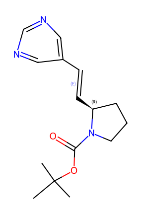 CC(C)(C)OC(=O)N1CCC[C@@H]1/C=C/c1cncnc1